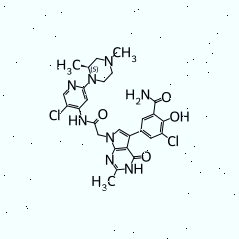 Cc1nc2c(c(-c3cc(Cl)c(O)c(C(N)=O)c3)cn2CC(=O)Nc2cc(N3CCN(C)C[C@@H]3C)ncc2Cl)c(=O)[nH]1